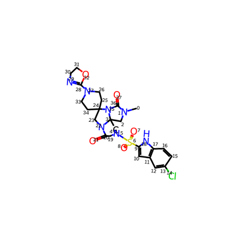 CN1CC23CN(S(=O)(=O)c4cc5cc(Cl)ccc5[nH]4)CC(=O)N2CC2(CCN(C4=NCCO4)CC2)N3C1=O